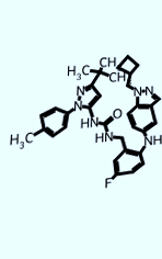 Cc1ccc(-n2nc(C(C)(C)C)cc2NC(=O)NCc2cc(F)ccc2Nc2ccc3c(cnn3CC3CCC3)c2)cc1